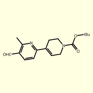 Cc1nc(C2=CCN(C(=O)OC(C)(C)C)CC2)ccc1C=O